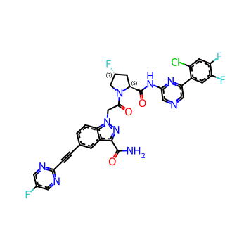 NC(=O)c1nn(CC(=O)N2C[C@H](F)C[C@H]2C(=O)Nc2cncc(-c3cc(F)c(F)cc3Cl)n2)c2ccc(C#Cc3ncc(F)cn3)cc12